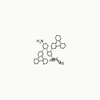 CC(=O)O.Nc1ccc(-c2ccc(N)cc2-c2ccc3c4ccccc4c4ccccc4c3c2)c(-c2ccc3c4ccccc4c4ccccc4c3c2)c1.[Pd]